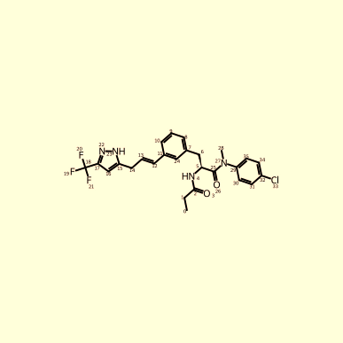 CCC(=O)N[C@@H](Cc1cccc(/C=C/Cc2cc(C(F)(F)F)n[nH]2)c1)C(=O)N(C)c1ccc(Cl)cc1